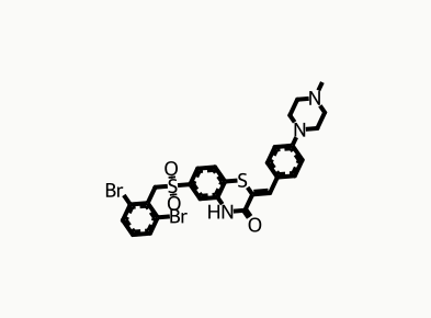 CN1CCN(c2ccc(/C=C3\Sc4ccc(S(=O)(=O)Cc5c(Br)cccc5Br)cc4NC3=O)cc2)CC1